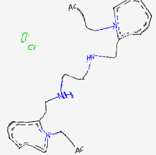 CC(=O)C[n+]1ccccc1CNCCNCc1cccc[n+]1CC(C)=O.[Cl-].[Cl-]